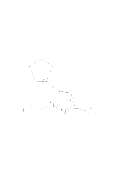 CC(C)c1cc(C2=CC=CC2)n(C)n1